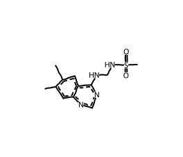 Cc1cc2ncnc(NCNS(C)(=O)=O)c2cc1C